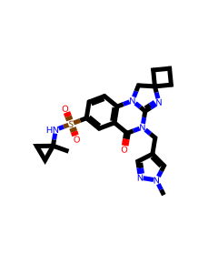 Cn1cc(CN2C(=O)c3cc(S(=O)(=O)NC4(C)CC4)ccc3N3CC4(CCC4)N=C23)cn1